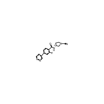 N#CN1CC[C@@H](NC(=O)c2ccc(-c3ccnnc3)cc2F)C1